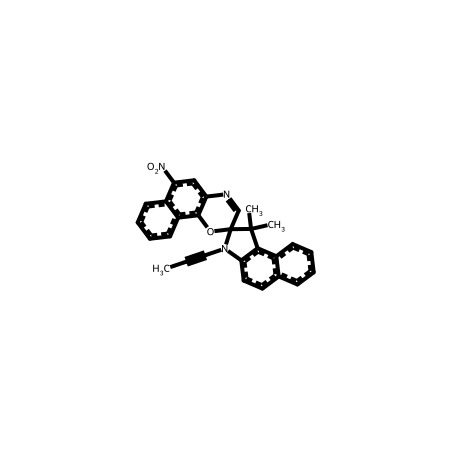 CC#CN1c2ccc3ccccc3c2C(C)(C)C12C=Nc1cc([N+](=O)[O-])c3ccccc3c1O2